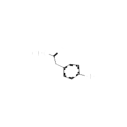 O=CC(=O)Cc1ccc(S)cc1